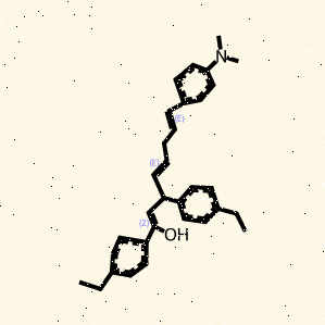 CCc1ccc(/C(O)=C/C(/C=C/C/C=C/c2ccc(N(C)C)cc2)c2ccc(CC)cc2)cc1